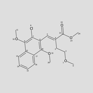 COCCC(=Cc1c(Cl)c(OC)c2ccccc2c1OC)C(=O)OC